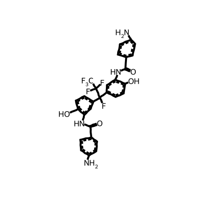 Nc1ccc(C(=O)Nc2cc(C(F)(c3ccc(O)c(NC(=O)c4ccc(N)cc4)c3)C(F)(F)C(F)(F)F)ccc2O)cc1